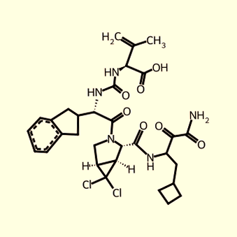 C=C(C)[C@H](NC(=O)N[C@H](C(=O)N1C[C@H]2[C@@H]([C@H]1C(=O)NC(CC1CCC1)C(=O)C(N)=O)C2(Cl)Cl)C1Cc2ccccc2C1)C(=O)O